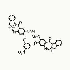 COc1cc2c(cc1OCc1cc(COc3cc4c(cc3OC)C(=O)N3c5ccccc5C[C@H]3C=N4)cc([N+](=O)[O-])c1)N=C[C@@H]1Cc3ccccc3N1C2=O